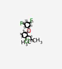 CC(C)Cc1c(Cl)cccc1Oc1cc(F)cc(F)c1